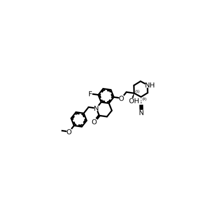 COc1ccc(CN2C(=O)CCc3c(OC[C@]4(O)CCNC[C@@H]4C#N)ccc(F)c32)cc1